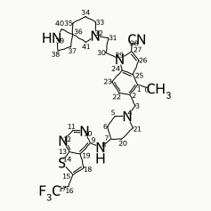 Cc1c(CN2CCC(Nc3ncnc4sc(CC(F)(F)F)cc34)CC2)ccc2c1cc(C#N)n2CCN1CCCC2(CCNC2)C1